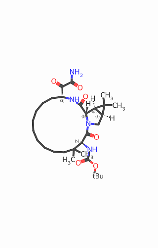 CC(C)(C)OC(=O)N[C@@H]1C(=O)N2C[C@H]3[C@@H]([C@H]2C(=O)N[C@H](C(=O)C(N)=O)CCCCCCCCCC1(C)C)C3(C)C